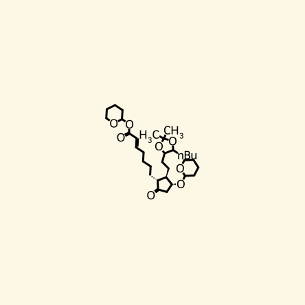 CCCCC1OC(C)(C)OC1CC[C@H]1[C@H](OC2CCCCO2)CC(=O)[C@@H]1CCCCC=CC(=O)OC1CCCCO1